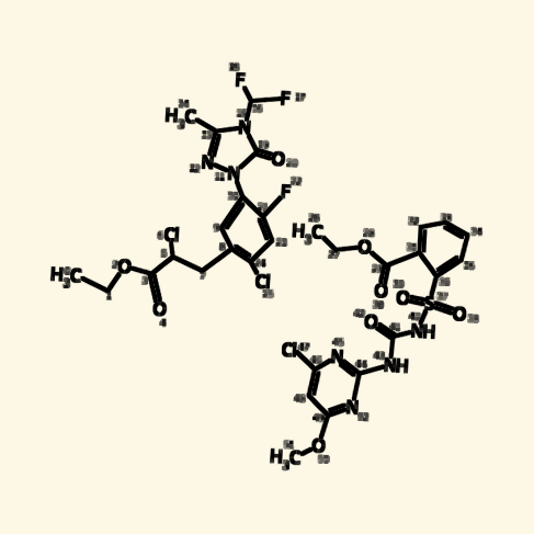 CCOC(=O)C(Cl)Cc1cc(-n2nc(C)n(C(F)F)c2=O)c(F)cc1Cl.CCOC(=O)c1ccccc1S(=O)(=O)NC(=O)Nc1nc(Cl)cc(OC)n1